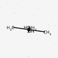 CCCCCCCCCCCCCCCCCCCCCCN(CCCCCCCCCCCCCCCCCCCCCC)C(O)=S.NC(O)=S